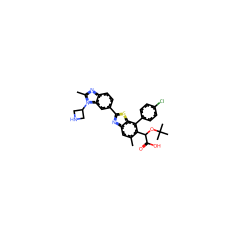 Cc1cc2nc(-c3ccc4nc(C)n(C5CNC5)c4c3)sc2c(-c2ccc(Cl)cc2)c1C(OC(C)(C)C)C(=O)O